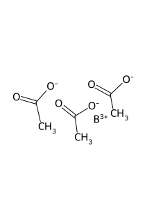 CC(=O)[O-].CC(=O)[O-].CC(=O)[O-].[B+3]